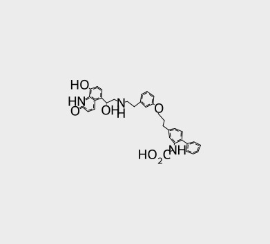 O=C(O)Nc1cc(CCCOc2cccc(CCNC[C@H](O)c3ccc(O)c4[nH]c(=O)ccc34)c2)ccc1-c1ccccc1